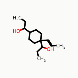 CC=CC1(C(O)CC)CCC(C(O)CC)CC1